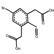 O=Ic1c(CC(=O)O)cc(Br)cc1CC(=O)O